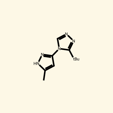 Cc1cc(-n2cnnc2C(C)(C)C)n[nH]1